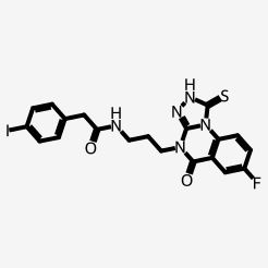 O=C(Cc1ccc(I)cc1)NCCCn1c(=O)c2cc(F)ccc2n2c(=S)[nH]nc12